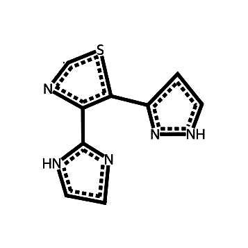 [c]1nc(-c2ncc[nH]2)c(-c2cc[nH]n2)s1